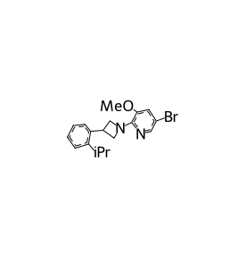 COc1cc(Br)cnc1N1CC(c2ccccc2C(C)C)C1